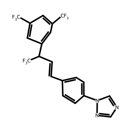 FC(F)(F)c1cc(C(/C=C/c2ccc(-n3cncn3)cc2)C(F)(F)F)cc(C(F)(F)F)c1